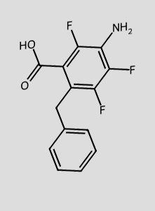 Nc1c(F)c(F)c(Cc2ccccc2)c(C(=O)O)c1F